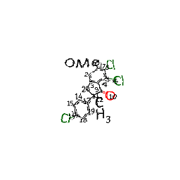 COc1cc2c(c(Cl)c1Cl)C(=O)C(C)(c1ccc(Cl)cc1)C2